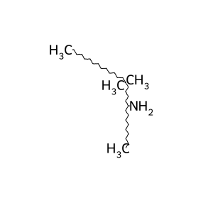 CCCCCCCCCCCCCCC(C)(C)CCCCC(N)CCCCCCCCC